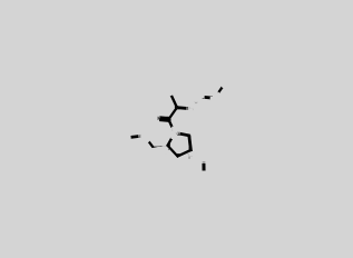 COC[C@@H]1C[C@@H](OC)CN1C(=O)C(C)NSSC